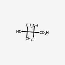 CC(C)(O)C(O)(Cl)C(=O)O